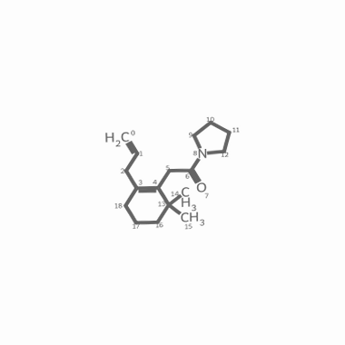 C=CCC1=C(CC(=O)N2CCCC2)C(C)(C)CCC1